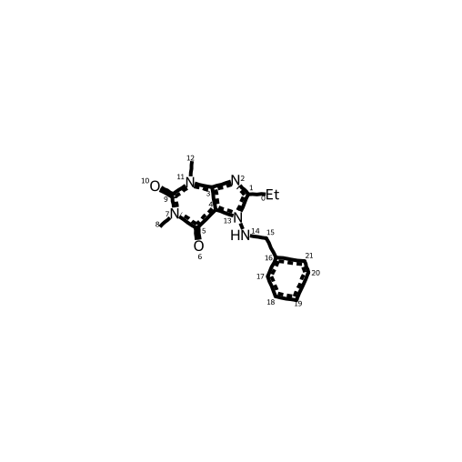 CCc1nc2c(c(=O)n(C)c(=O)n2C)n1NCc1ccccc1